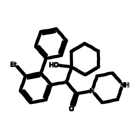 CCc1cccc(C(C(=O)N2CCNCC2)C2(O)CCCCC2)c1-c1ccccc1